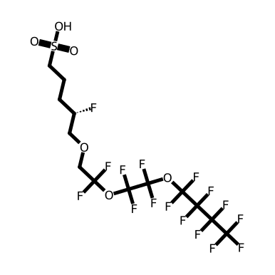 O=S(=O)(O)CCC[C@H](F)COCC(F)(F)OC(F)(F)C(F)(F)OC(F)(F)C(F)(F)C(F)(F)C(F)(F)F